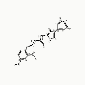 COc1ccc(CCNC(=S)Nc2nc(-c3cccnc3)cs2)c(OC)c1